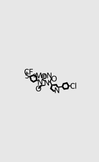 CNC(=O)C(c1ccnc(-c2ccc(Cl)cc2)c1)N1CC(=O)N(c2ccc(SC(F)(F)F)cc2)C1=O